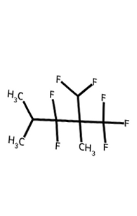 CC(C)C(F)(F)C(C)(C(F)F)C(F)(F)F